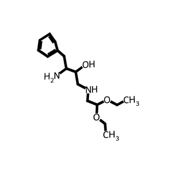 CCOC(CNCC(O)C(N)Cc1ccccc1)OCC